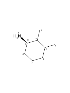 CC1CCC[C@@H](N)C1C